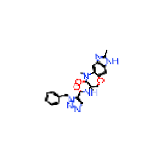 Cc1nc2cc3c(cc2[nH]1)OC[C@H](NC(=O)c1cnnn1Cc1ccccc1)C(=O)N3C